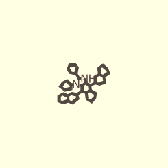 c1ccc(C2Nc3c(c(-c4ccc5ccccc5c4)c4ccccc4c3-c3ccc4ccccc4c3)N2c2ccccc2)cc1